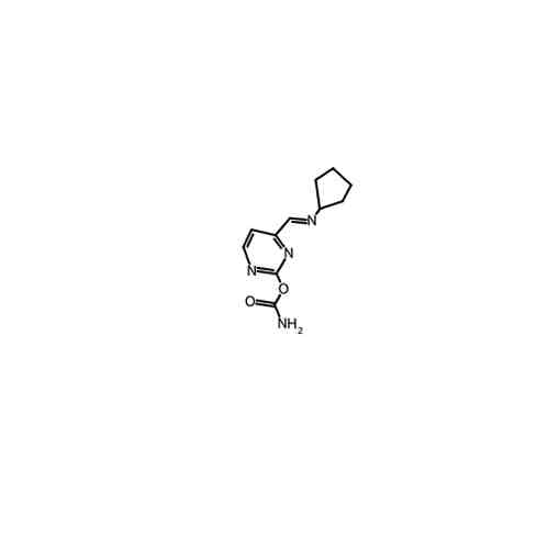 NC(=O)Oc1nccc(C=NC2CCCC2)n1